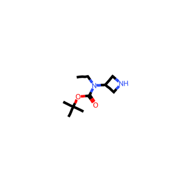 CCN(C(=O)OC(C)(C)C)C1CNC1